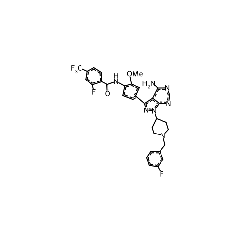 COc1cc(-c2nn(C3CCN(Cc4cccc(F)c4)CC3)c3ncnc(N)c23)ccc1NC(=O)c1ccc(C(F)(F)F)cc1F